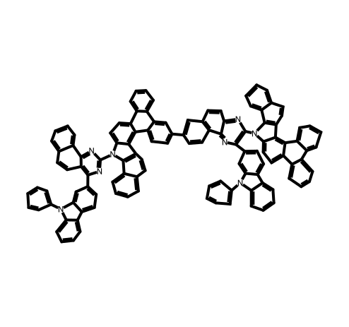 c1ccc(-n2c3ccccc3c3ccc(-c4nc5c(ccc6cc(-c7ccc8c(c7)c7ccccc7c7ccc9c(c%10ccc%11ccccc%11c%10n9-c9nc(-c%10ccc%11c%12ccccc%12n(-c%12ccccc%12)c%11c%10)c%10ccc%11ccccc%11c%10n9)c78)ccc65)nc4-n4c5ccc6c7ccccc7c7ccccc7c6c5c5ccc6ccccc6c54)cc32)cc1